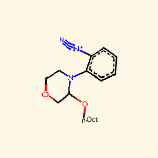 CCCCCCCCOC1COCCN1c1ccccc1[N+]#N